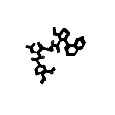 COc1ccc(C(=O)N[C@@H](CC(C)C)C(=O)NNC(=O)N2C([C]=O)=CSC2c2cccc3ccccc23)cc1OC